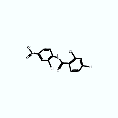 O=C(Nc1ccc([N+](=O)[O-])cc1Cl)c1ccc(Cl)cc1Cl